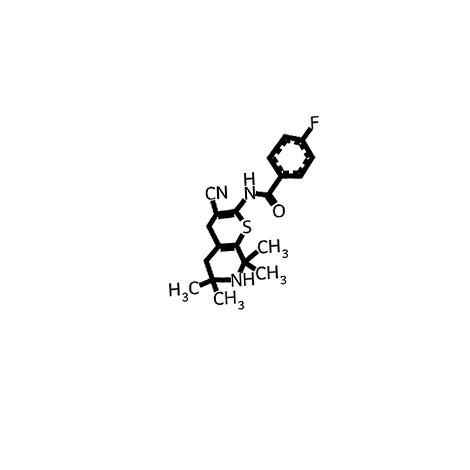 CC1(C)CC2=C(SC(NC(=O)c3ccc(F)cc3)=C(C#N)C2)C(C)(C)N1